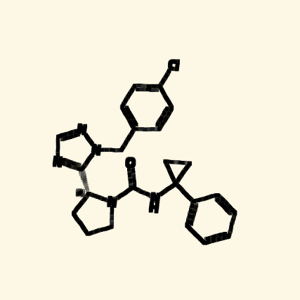 O=C(NC1(c2ccccc2)CC1)N1CCC[C@@H]1c1ncnn1Cc1ccc(Cl)cc1